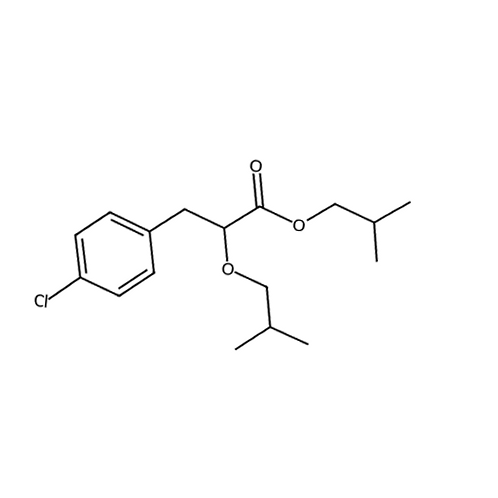 CC(C)COC(=O)C(Cc1ccc(Cl)cc1)OCC(C)C